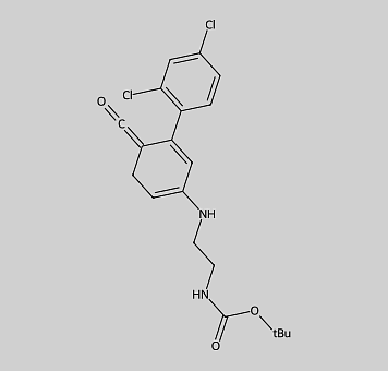 CC(C)(C)OC(=O)NCCNC1=CCC(=C=O)C(c2ccc(Cl)cc2Cl)=C1